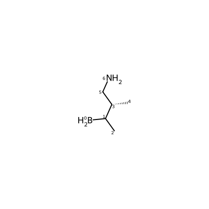 BC(C)[C@@H](C)CN